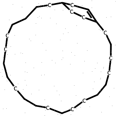 C1=C2CCCCCCCCCCCCCCCCCCCCCC(C1)CC2